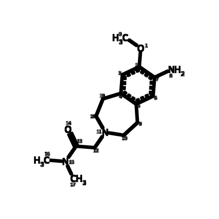 COc1cc2c(cc1N)CCN(CC(=O)N(C)C)CC2